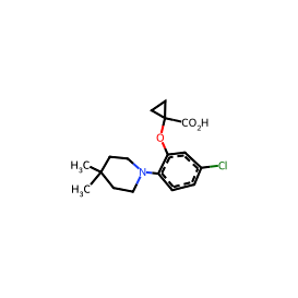 CC1(C)CCN(c2ccc(Cl)cc2OC2(C(=O)O)CC2)CC1